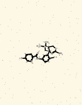 CC[C@H]1CSC(N)=N[C@]1(COC)c1cc(NC(=O)c2ccc(F)cn2)ccc1F